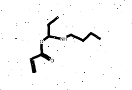 C=CC(=O)OC(CC)NCCCC